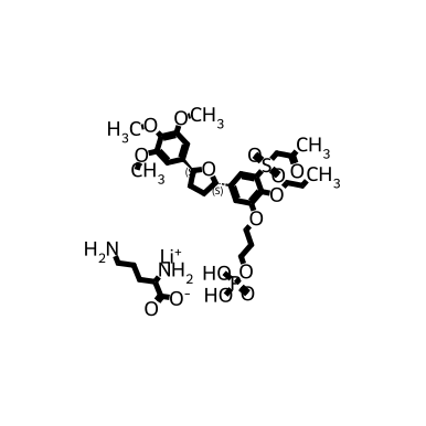 CCCOc1c(OCCCOP(=O)(O)O)cc([C@@H]2CC[C@@H](c3cc(OC)c(OC)c(OC)c3)O2)cc1S(=O)(=O)CC(C)=O.NCCCC(N)C(=O)[O-].[Li+]